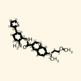 COCCN(C)c1ccc2cc(C(=O)Nc3cc(-c4cccs4)ccc3N)cnc2c1